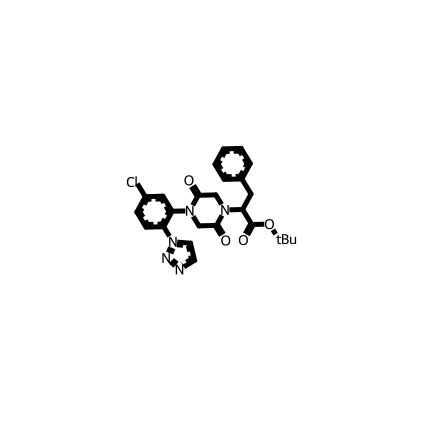 CC(C)(C)OC(=O)C(Cc1ccccc1)N1CC(=O)N(c2cc(Cl)ccc2-n2ccnn2)CC1=O